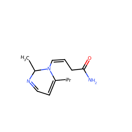 CC(C)C1=CC=NC(C)N1/C=C\CC(N)=O